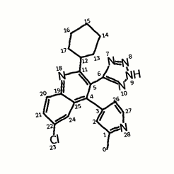 Cc1cc(-c2c(-c3nn[nH]n3)c(C3CCCCC3)nc3ccc(Cl)cc23)ccn1